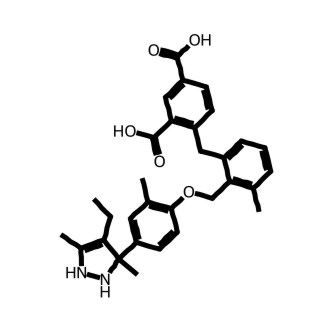 CCC1=C(C)NNC1(C)c1ccc(OCc2c(C)cccc2Cc2ccc(C(=O)O)cc2C(=O)O)c(C)c1